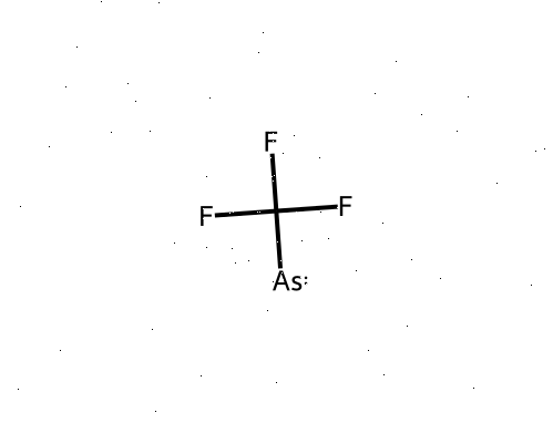 FC(F)(F)[As]